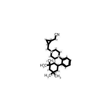 CC1(C)CC(c2ccccc2N2CCN(CC3CC3CC#N)CC2)CC(C)(C)C1